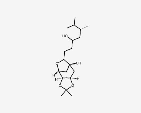 CC(C)[C@H](C)CC(O)CC[C@@H]1O[C@@H]2C[C@@]1(O)C[C@H]1OC(C)(C)O[C@@H]21